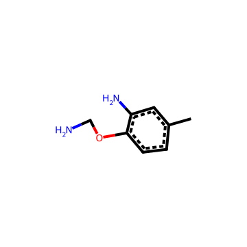 Cc1ccc(OCN)c(N)c1